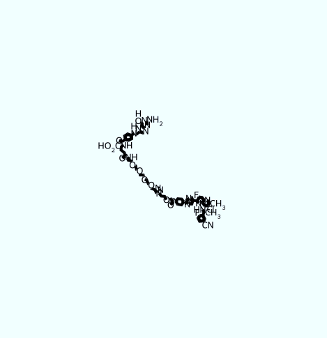 Cc1nc2cc(F)c(-c3cnc(N4CCN(C(=O)COCCn5cc(COCCOCCOCCOCCNC(=O)CC[C@H](NC(=O)c6ccc(NCc7cnc8nc(N)nc(O)c8n7)cc6)C(=O)O)nn5)CC4)nc3)nc2c(N[C@H](C)c2cc(C#N)ccc2F)c1Cl